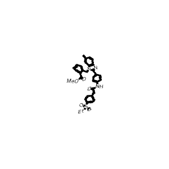 CCS(=O)(=O)c1ccc(CC(=O)Nc2ccc(-c3nc4ccc(C)cc4n3Cc3ccccc3C(=O)OC)cc2)cc1